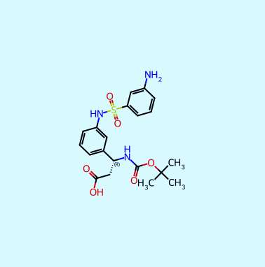 CC(C)(C)OC(=O)N[C@H](CC(=O)O)c1cccc(NS(=O)(=O)c2cccc(N)c2)c1